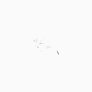 C=COCC1OCC(F)(F)C(OC)(C(F)(F)F)O1